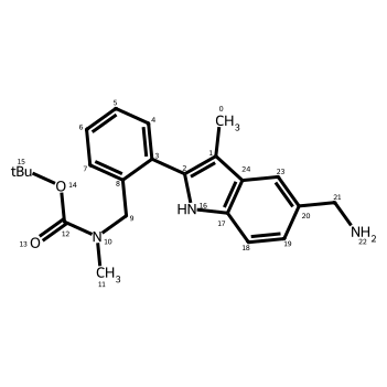 Cc1c(-c2ccccc2CN(C)C(=O)OC(C)(C)C)[nH]c2ccc(CN)cc12